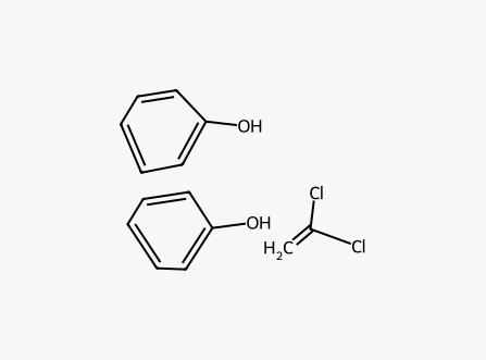 C=C(Cl)Cl.Oc1ccccc1.Oc1ccccc1